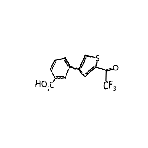 O=C(O)c1cccc(-c2csc(C(=O)C(F)(F)F)c2)c1